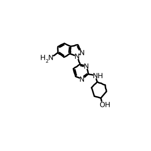 Nc1ccc2cnn(-c3ccnc(NC4CCC(O)CC4)n3)c2c1